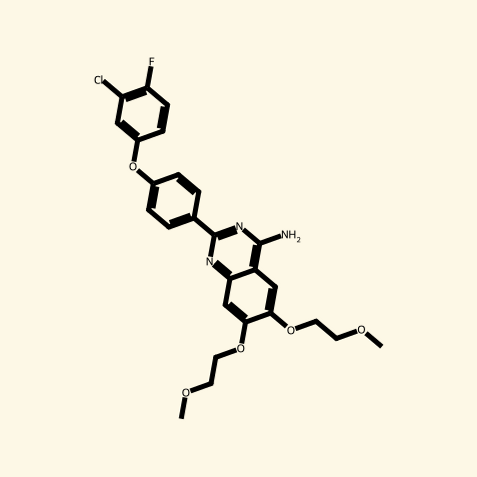 COCCOc1cc2nc(-c3ccc(Oc4ccc(F)c(Cl)c4)cc3)nc(N)c2cc1OCCOC